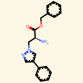 N[C@@H](Cn1cc(-c2ccccc2)cn1)C(=O)OCc1ccccc1